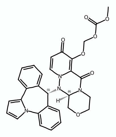 COC(=O)OCOc1c2n(ccc1=O)N([C@H]1c3ccccc3-c3cccn3-c3ccccc31)[C@@H]1COCCN1C2=O